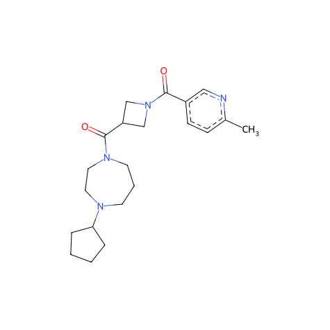 Cc1ccc(C(=O)N2CC(C(=O)N3CCCN(C4CCCC4)CC3)C2)cn1